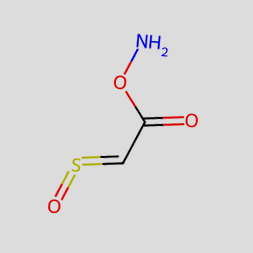 NOC(=O)C=S=O